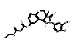 CCOC(=O)CC(=O)Oc1ccc2c(c1)C1=NN(c3ccc(Cl)c(Cl)c3)C(=O)C1(C)CS2